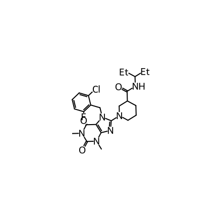 CCC(CC)NC(=O)C1CCCN(c2nc3c(c(=O)n(C)c(=O)n3C)n2Cc2c(F)cccc2Cl)C1